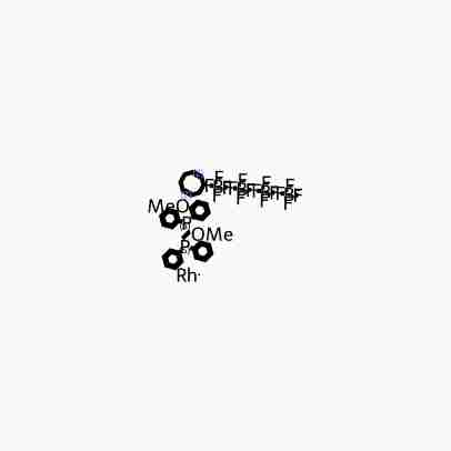 C1=C\CC/C=C\CC/1.COc1ccccc1[P@](CC[P@](c1ccccc1)c1ccccc1OC)c1ccccc1.F[B-](F)(F)F.F[B-](F)(F)F.F[B-](F)(F)F.F[B-](F)(F)F.[Rh]